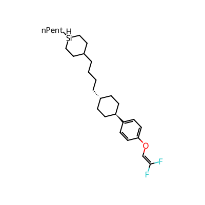 CCCCC[SiH]1CCC(CCCC[C@H]2CC[C@H](c3ccc(OC=C(F)F)cc3)CC2)CC1